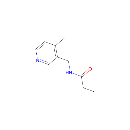 CCC(=O)NCc1cnccc1C